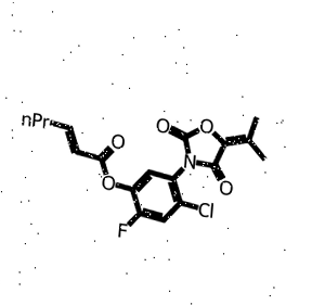 CCCC=CC(=O)Oc1cc(N2C(=O)OC(=C(C)C)C2=O)c(Cl)cc1F